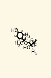 CC(C)(OCC(C)(O)C(F)(F)F)C1CCC(O)CC1